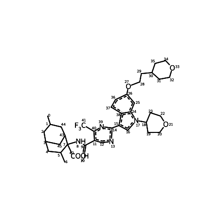 CC1CC2CC(C)C(NC(=O)c3cnc(-c4cn(C5CCOCC5)c5cc(OCCC6CCOCC6)ccc45)nc3C(F)(F)F)(C(=O)O)C(C1)C2